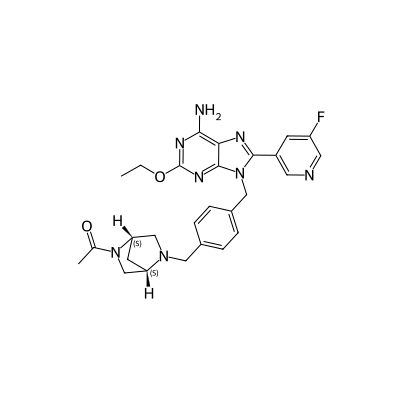 CCOc1nc(N)c2nc(-c3cncc(F)c3)n(Cc3ccc(CN4C[C@@H]5C[C@H]4CN5C(C)=O)cc3)c2n1